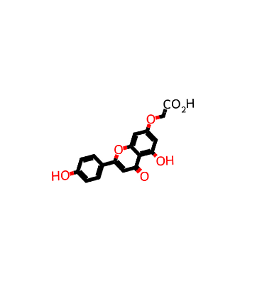 O=C(O)COc1cc(O)c2c(=O)cc(-c3ccc(O)cc3)oc2c1